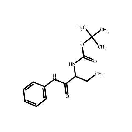 CCC(NC(=O)OC(C)(C)C)C(=O)Nc1ccccc1